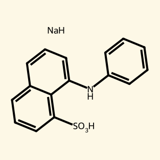 O=S(=O)(O)c1cccc2cccc(Nc3ccccc3)c12.[NaH]